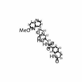 COc1ccc2nccc([C@@H]3CN(C[C@@H](O)CNS(=O)(=O)c4ccc5c(c4)NC(=O)CS5)C(=O)O3)c2n1